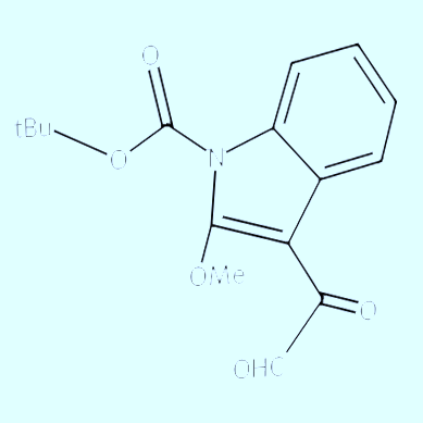 COc1c(C(=O)C=O)c2ccccc2n1C(=O)OC(C)(C)C